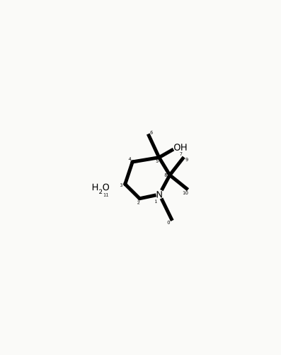 CN1CCCC(C)(O)C1(C)C.O